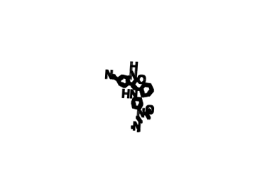 CC(=O)N(CCN(C)C)c1ccc(NC(=C2C(=O)Nc3cc(C#N)ccc32)c2ccccc2)cc1